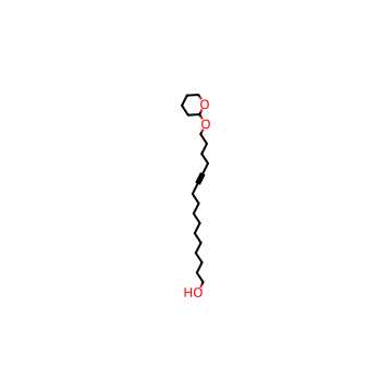 OCCCCCCCCCCC#CCCCCOC1CCCCO1